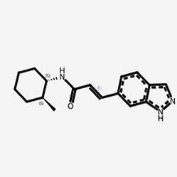 C[C@H]1CCCC[C@@H]1NC(=O)/C=C/c1ccc2cn[nH]c2c1